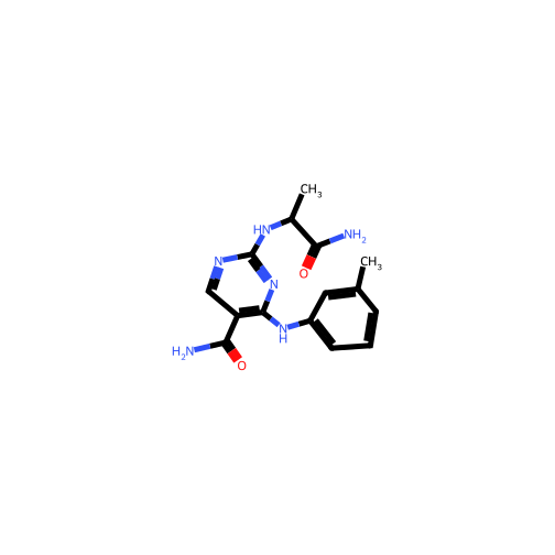 Cc1cccc(Nc2nc(NC(C)C(N)=O)ncc2C(N)=O)c1